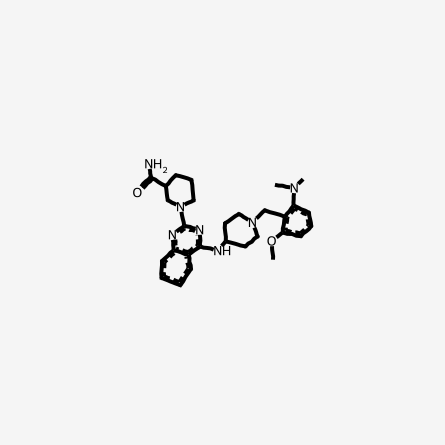 COc1cccc(N(C)C)c1CN1CCC(Nc2nc(N3CCCC(C(N)=O)C3)nc3ccccc23)CC1